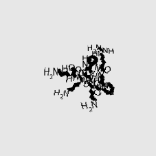 N=C(N)NCCC[C@H](N)C(=O)NCC(=O)N1CCCC[C@H]1C(=O)N[C@@H](CCCCN)C(=O)N[C@@H](Cc1c[nH]c2ccccc12)C(=O)N[C@@H](CCCCN)C(=O)N[C@@H](CCCCN)C(=O)O